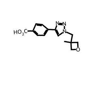 CC1(Cn2cc(-c3ccc(C(=O)O)cc3)nn2)COC1